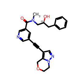 CN(C[C@@H](O)Cc1ccccc1)C(=O)c1cncc(C#Cc2cnn3c2COCC3)c1